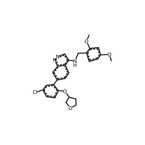 COc1ccc(CNc2cnnc3cc(-c4cc(Cl)ccc4OC4CCOC4)ccc23)c(OC)c1